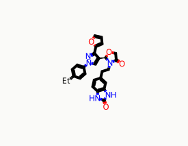 CCc1ccc(-n2cc([C@H]3OCC(=O)N3CCc3ccc4[nH]c(=O)[nH]c4c3)c(-c3ccco3)n2)cc1